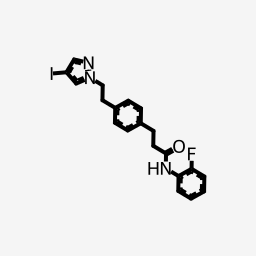 O=C(CCc1ccc(CCn2cc(I)cn2)cc1)Nc1ccccc1F